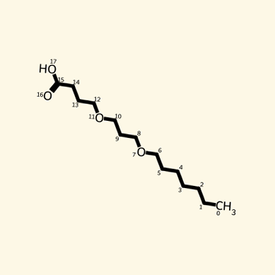 CCCCCCCOCCCOCCCC(=O)O